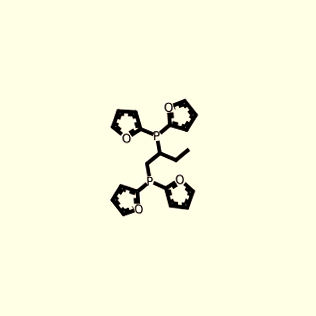 CCC(CP(c1ccco1)c1ccco1)P(c1ccco1)c1ccco1